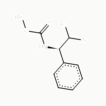 CC(=O)C(C(C)=O)[C@H](NC(=O)OC(C)(C)C)c1ccccc1